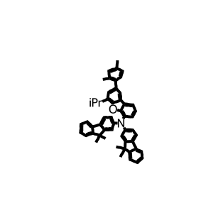 Cc1ccc(-c2cc(C(C)C)c3oc4c(N(c5ccc6c(c5)C(C)(C)c5ccccc5-6)c5ccc6c(c5)C(C)(C)c5ccccc5-6)cccc4c3c2)c(C)c1